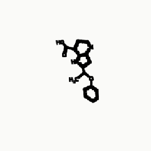 CC(Oc1ccccc1)c1cc2nccc(C(=O)O)c2[nH]1